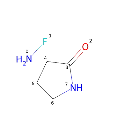 NF.O=C1CCCN1